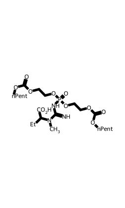 CCCCCOC(=O)OCCOP(=O)(NC(=N)N(C)C(CC)C(=O)O)OCCOC(=O)OCCCCC